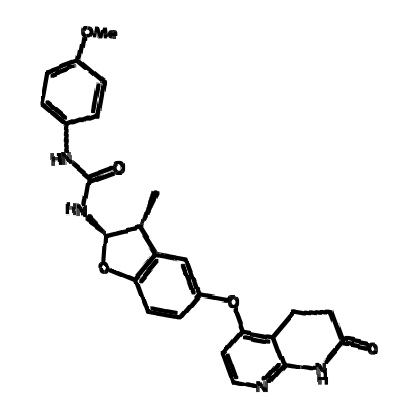 COc1ccc(NC(=O)N[C@@H]2Oc3ccc(Oc4ccnc5c4CCC(=O)N5)cc3[C@@H]2C)cc1